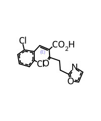 O=C(O)/C(=C/c1c(Cl)cccc1Cl)C(=O)CCc1ncco1